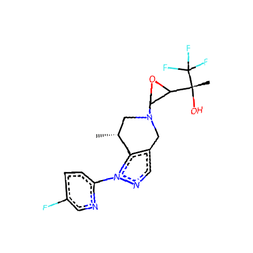 C[C@@H]1CN(C2OC2[C@@](C)(O)C(F)(F)F)Cc2cnn(-c3ccc(F)cn3)c21